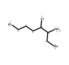 CCC(C)CC(N)C(CC)CCCC(C)C